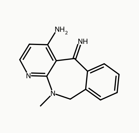 CN1Cc2ccccc2C(=N)c2c(N)ccnc21